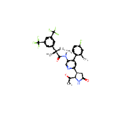 CC(=O)C1NC(=O)CC1c1cc(-c2ccc(F)cc2C)c(N(C)C(=O)C(C)(C)c2cc(C(F)(F)F)cc(C(F)(F)F)c2)cn1